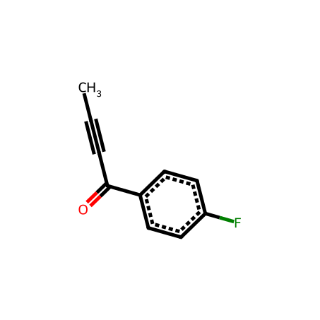 CC#CC(=O)c1ccc(F)cc1